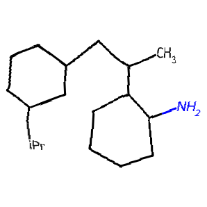 CC(C)C1CCCC(CC(C)C2CCCCC2N)C1